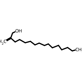 C=C(CO)CCCCCCCCCCCCCC